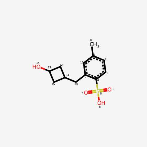 Cc1ccc(S(=O)(=O)O)c(CC2CC(O)C2)c1